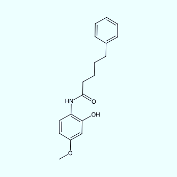 COc1ccc(NC(=O)CCCCc2ccccc2)c(O)c1